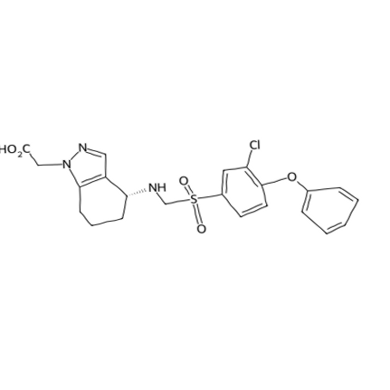 O=C(O)Cn1ncc2c1CCC[C@H]2NCS(=O)(=O)c1ccc(Oc2ccccc2)c(Cl)c1